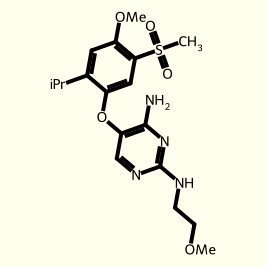 COCCNc1ncc(Oc2cc(S(C)(=O)=O)c(OC)cc2C(C)C)c(N)n1